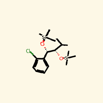 CC(C)[C@H](O[Si](C)(C)C)[C@@H](O[Si](C)(C)C)c1ccccc1Cl